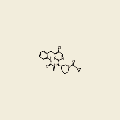 C=CC(=O)Nc1ccccc1Cc1nc(N[C@H]2CCCN(C(=O)C3CC3)C2)ncc1Cl